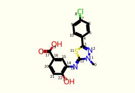 Cn1nc(-c2ccc(Cl)cc2)sc1=Nc1cc(C(=O)O)ccc1O